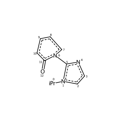 CC(C)n1ccnc1-n1ccccc1=O